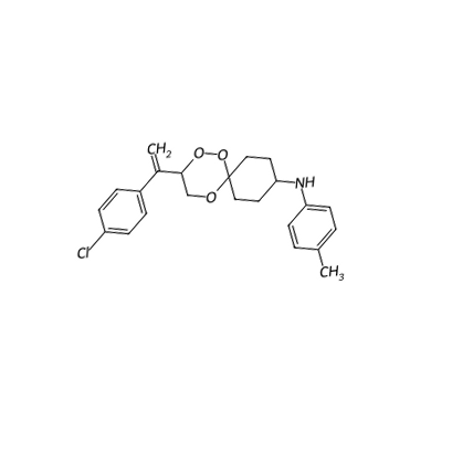 C=C(c1ccc(Cl)cc1)C1COC2(CCC(Nc3ccc(C)cc3)CC2)OO1